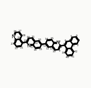 c1ccc2c(c1)cc(-c1ccc3cc(-c4ccc5nc(-c6cccc7ncccc67)ccc5c4)ccc3n1)c1ccccc12